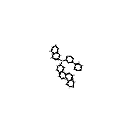 c1ccc(-c2cccc(N(c3ccc4ccccc4c3)c3ccc4ccc5c6ccccc6ccc5c4c3)c2)cc1